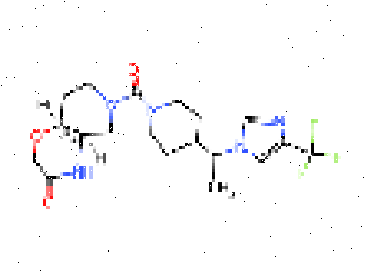 CC(C1CCN(C(=O)N2CC[C@@H]3OCC(=O)N[C@@H]3C2)CC1)n1cnc(C(F)(F)F)c1